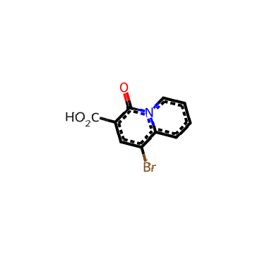 O=C(O)c1cc(Br)c2ccccn2c1=O